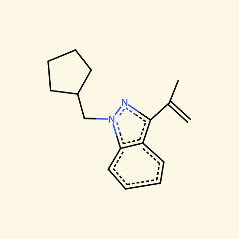 C=C(C)c1nn(CC2CCCC2)c2ccccc12